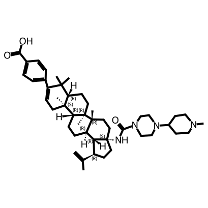 C=C(C)[C@@H]1CC[C@]2(NC(=O)N3CCN(C4CCN(C)CC4)CC3)CC[C@]3(C)[C@H](CC[C@@H]4[C@@]5(C)CC=C(c6ccc(C(=O)O)cc6)C(C)(C)[C@@H]5CC[C@]43C)[C@@H]12